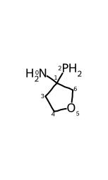 NC1(P)CCOC1